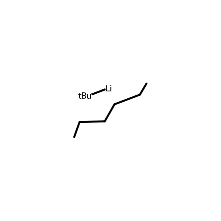 CCCCCC.[Li][C](C)(C)C